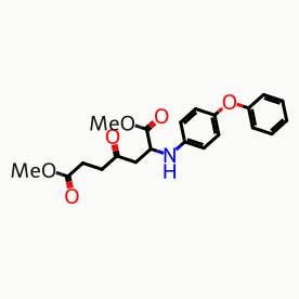 COC(=O)CCC(=O)CC(Nc1ccc(Oc2ccccc2)cc1)C(=O)OC